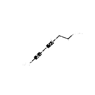 [CH2]CCCC#CC#CCCCCCCCC